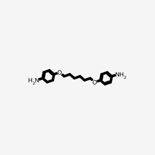 NC1=CC=C(OCCCCCCOc2ccc(N)cc2)CC1